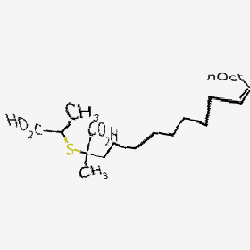 CCCCCCCC/C=C\CCCCCCCCC(C)(SC(C)C(=O)O)C(=O)O